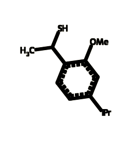 COc1cc(C(C)C)ccc1C(C)S